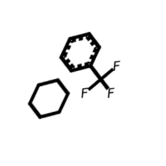 C1CCCCC1.FC(F)(F)c1ccccc1